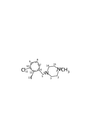 CN1CCN(Cc2cccc(Cl)c2I)CC1